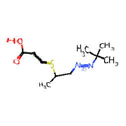 CC(C/N=N/C(C)(C)C)SCCC(=O)O